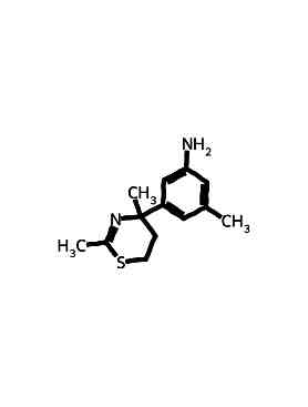 CC1=NC(C)(c2cc(C)cc(N)c2)CCS1